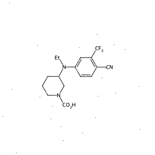 CCN(c1ccc(C#N)c(C(F)(F)F)c1)C1CCCN(C(=O)O)C1